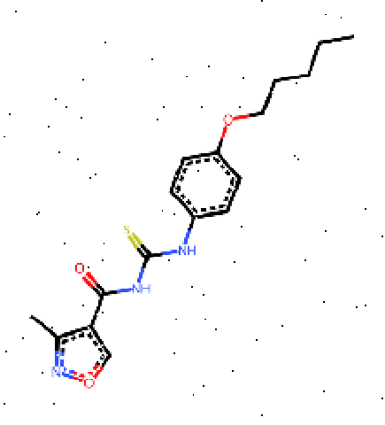 CCCCCOc1ccc(NC(=S)NC(=O)c2conc2C)cc1